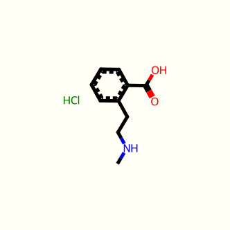 CNCCc1ccccc1C(=O)O.Cl